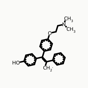 [CH2]/C(=C(\c1ccc(O)cc1)c1ccc(OCCN(C)C)cc1)c1ccccc1